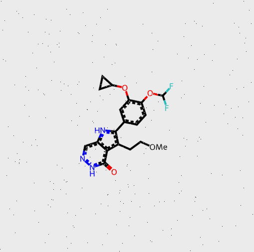 COCCc1c(-c2ccc(OC(F)F)c(OC3CC3)c2)[nH]c2cn[nH]c(=O)c12